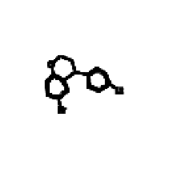 CCc1ccc(C2CCOc3ccc(Br)cc32)cc1